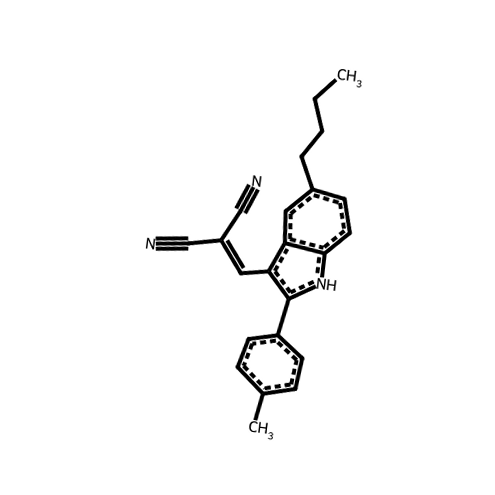 CCCCc1ccc2[nH]c(-c3ccc(C)cc3)c(C=C(C#N)C#N)c2c1